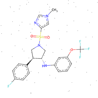 Cn1cnc(S(=O)(=O)N2C[C@H](Nc3cccc(OC(F)(F)F)c3)[C@@H](c3ccc(F)cc3)C2)c1